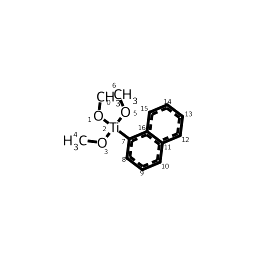 C[O][Ti]([O]C)([O]C)[c]1cccc2ccccc12